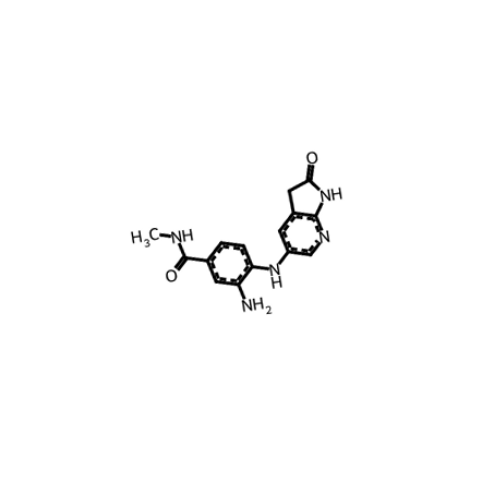 CNC(=O)c1ccc(Nc2cnc3c(c2)CC(=O)N3)c(N)c1